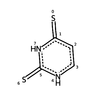 S=c1cc[nH]c(=S)[nH]1